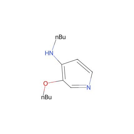 [CH2]CCCNc1ccncc1OCCCC